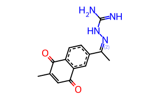 CC1=CC(=O)c2cc(/C(C)=N\NC(=N)N)ccc2C1=O